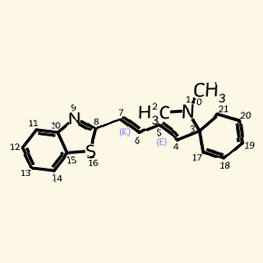 CN(C)C1(/C=C/C=C/c2nc3ccccc3s2)C=CC=CC1